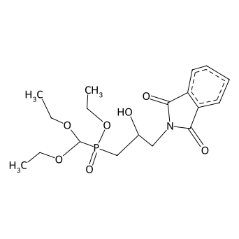 CCOC(OCC)P(=O)(CC(O)CN1C(=O)c2ccccc2C1=O)OCC